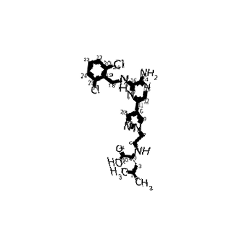 CC(C)C[C@@H](NCCn1cc(-c2cnc(N)c(NCc3c(Cl)cccc3Cl)n2)cn1)C(=O)O